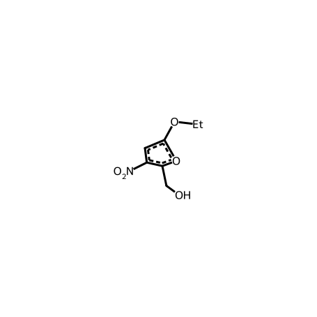 CCOc1cc([N+](=O)[O-])c(CO)o1